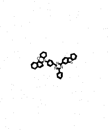 C1=Cc2c(ccc3c2OC2CCCCC2N3c2ccc(-c3nc(-c4ccccc4)nc(-c4ccc5c6c(sc5c4)C=CCC6)n3)cc2)CC1